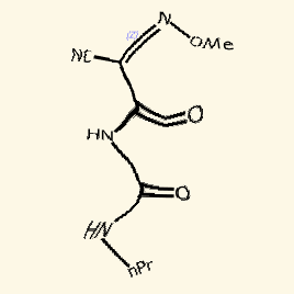 CCCNC(=O)NC(=O)/C(C#N)=N\OC